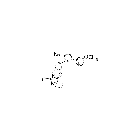 COc1ccnc(-c2ccc(C#N)c(-c3ccc(CN4C(=O)C5(CCCC5)N=C4C4CC4)cc3)c2)c1